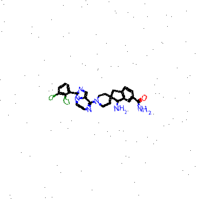 NC(=O)c1ccc2c(c1)[C@@H](N)C1(CCN(c3nccn4c(-c5cccc(Cl)c5Cl)ncc34)CC1)C2